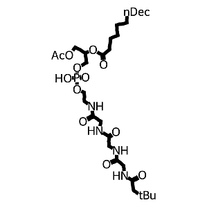 CCCCCCCCCCCCCCCC(=O)OC(COC(C)=O)COP(=O)(O)OCCNC(=O)CNC(=O)CNC(=O)CNC(=O)CC(C)(C)C